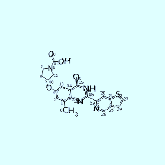 Cc1cc(O[C@@H]2CCN(C(=O)O)C2)cc2c(=O)[nH]c(-c3cc4sccc4cn3)nc12